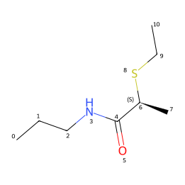 CCCNC(=O)[C@H](C)SCC